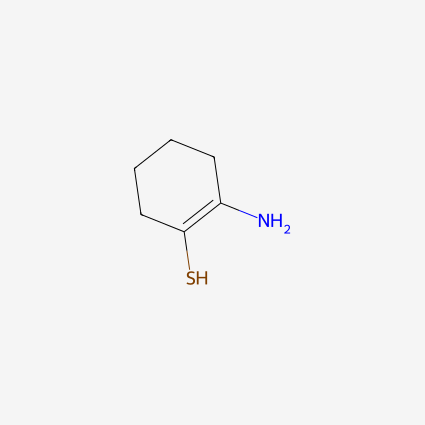 NC1=C(S)CCCC1